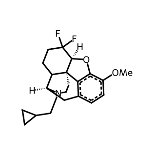 COc1ccc2c3c1O[C@@H]1C(F)(F)CCC4[C@H](C2)N(CC2CC2)CC[C@]341